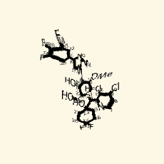 CO[C@H]1C[SH](C(c2nccc(Cl)c2Cl)C2(O)CCC(F)(F)CC2)[C@H](CO)[C@H](O)[C@@H]1n1cc(-c2cc(F)c(F)c(F)c2)nn1